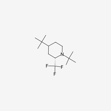 CC(C)(C)C1CCN(C(C)(C)C)[C@H](C(F)(F)F)C1